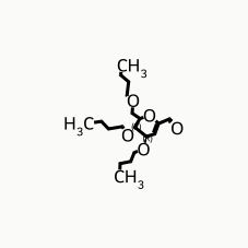 CCCCOCC1OC(C=O)=C[C@@H](OCCCC)[C@H]1OCCCC